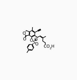 C#Cc1c(C)c2c(c(OS(=O)(=O)c3ccc(C)cc3)c1CC=C(C)CCC(=O)O)C(=O)OC2